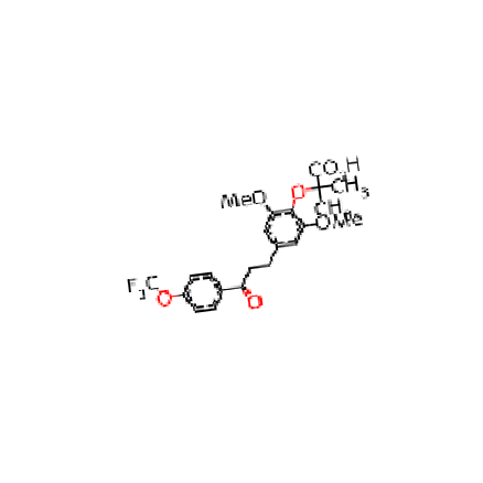 COc1cc(CCC(=O)c2ccc(OC(F)(F)F)cc2)cc(OC)c1OC(C)(C)C(=O)O